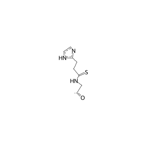 O=[C]CNC(=S)CCc1ncc[nH]1